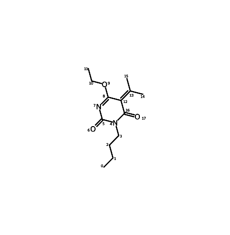 CCCCN1C(=O)N=C(OCC)C(=C(C)C)C1=O